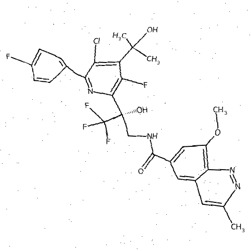 COc1cc(C(=O)NC[C@](O)(c2nc(-c3ccc(F)cc3)c(Cl)c(C(C)(C)O)c2F)C(F)(F)F)cc2cc(C)nnc12